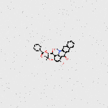 COc1cc2c(c3c1c(=O)c1cc4ccccc4cc1n3C)C(O)C(OC(=O)c1ccccc1)C(C)(C)O2